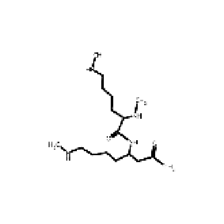 CNCCCCC(CC(C)=O)NC(=O)C(CCCCNC)NC